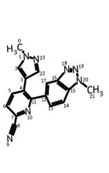 Cn1cc(-c2ccc(C#N)nc2-c2ccc3c(c2)nnn3C)cn1